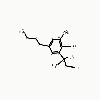 CCC(C)(C)c1cc(CCCN)cc(C)c1O